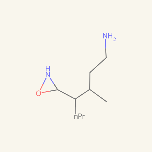 CCCC(C(C)CCN)C1NO1